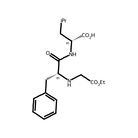 CCOC(=O)CN[C@H](Cc1ccccc1)C(=O)N[C@H](CC(C)C)C(=O)O